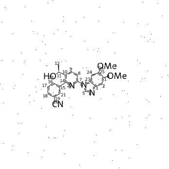 COc1cc2ncn(-c3ccc([C@H](C)O)c(-c4cccc(C#N)c4)n3)c2cc1OC